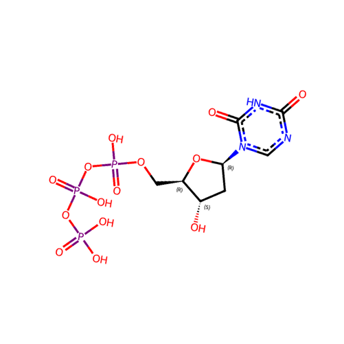 O=c1ncn([C@H]2C[C@H](O)[C@@H](COP(=O)(O)OP(=O)(O)OP(=O)(O)O)O2)c(=O)[nH]1